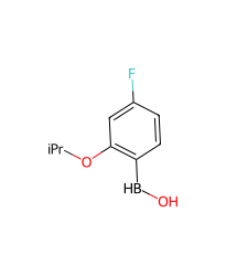 CC(C)Oc1cc(F)ccc1BO